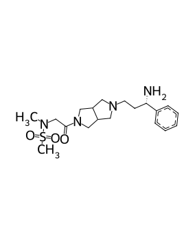 CN(CC(=O)N1CC2CN(CC[C@H](N)c3ccccc3)CC2C1)S(C)(=O)=O